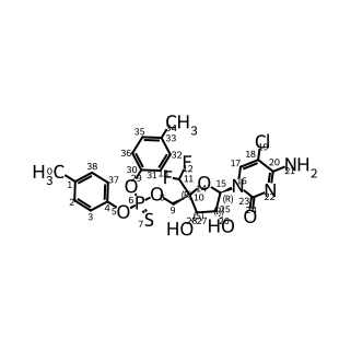 Cc1ccc(OP(=S)(OC[C@@]2(C(F)F)O[C@@H](n3cc(Cl)c(N)nc3=O)[C@H](O)[C@@H]2O)Oc2ccc(C)cc2)cc1